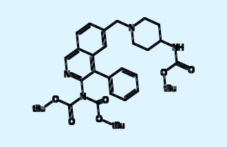 CC(C)(C)OC(=O)NC1CCN(Cc2ccc3cnc(N(C(=O)OC(C)(C)C)C(=O)OC(C)(C)C)c(-c4ccccc4)c3c2)CC1